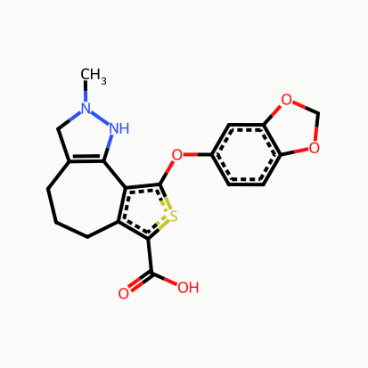 CN1CC2=C(N1)c1c(Oc3ccc4c(c3)OCO4)sc(C(=O)O)c1CCC2